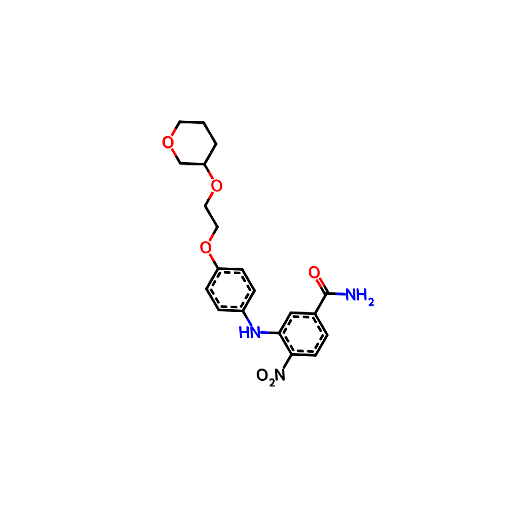 NC(=O)c1ccc([N+](=O)[O-])c(Nc2ccc(OCCOC3CCCOC3)cc2)c1